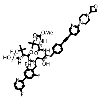 COC(=O)N[C@H](C(=O)N[C@@H](Cc1ccc(C#Cc2ccc(N3CCN(C4COC4)CC3)nc2)cc1)[C@@H](O)CN(Cc1c(F)cc(-c2cc(F)ccn2)cc1F)NC(=O)[C@@H](NC(=O)O)C(C)(C)C(F)(F)F)C(C)(C)C(F)(F)F